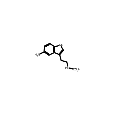 Nc1ccc2[nH]cc(CCNC(=O)O)c2c1